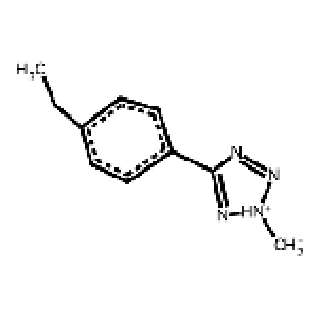 [CH2-][NH+]1N=NC(c2ccc(CC)cc2)=N1